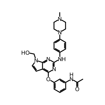 CC(=O)Nc1cccc(Oc2nc(Nc3ccc(N4CCN(C)CC4)cc3)nc3c2ccn3CO)c1